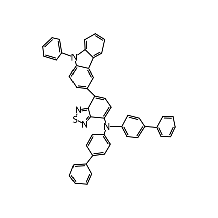 c1ccc(-c2ccc(N(c3ccc(-c4ccccc4)cc3)c3ccc(-c4ccc5c(c4)c4ccccc4n5-c4ccccc4)c4nsnc34)cc2)cc1